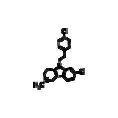 CN1CCc2c(c3ccc(Cl)cc3n2CCc2ccc(Cl)cc2)C1